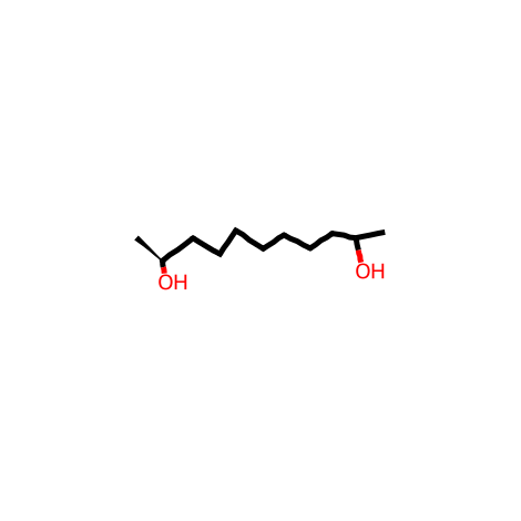 CC(O)CCCCCCC[C@H](C)O